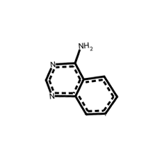 Nc1ncnc2c[c]ccc12